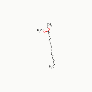 C=C/C=C/CCCCCCCCCCCCC(OCC)OCC